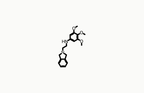 COc1cc(NCCN2Cc3ccccc3C2)cc(OC)c1OC